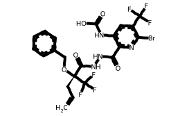 C=CC[C@@](OCc1ccccc1)(C(=O)NNC(=O)c1nc(Br)c(C(F)(F)F)cc1NC(=O)O)C(F)(F)F